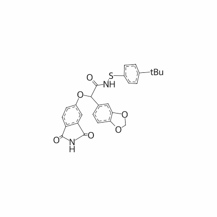 CC(C)(C)c1ccc(SNC(=O)C(Oc2ccc3c(c2)C(=O)NC3=O)c2ccc3c(c2)OCO3)cc1